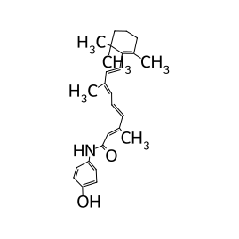 CC(C=CC1=C(C)CCCC1(C)C)=CC=CC(C)=CC(=O)Nc1ccc(O)cc1